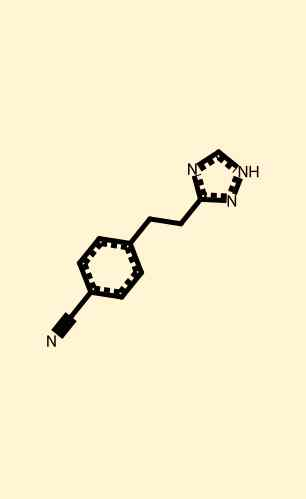 N#Cc1ccc(CCc2nc[nH]n2)cc1